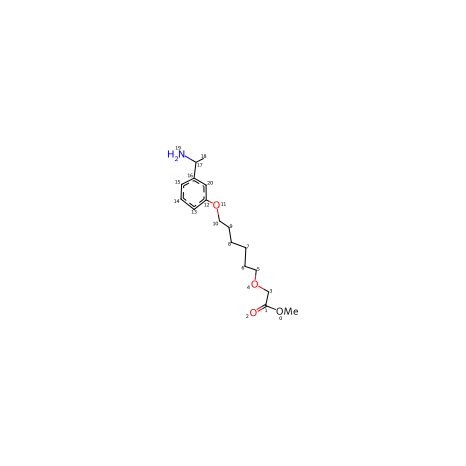 COC(=O)COCCCCCCOc1cccc(C(C)N)c1